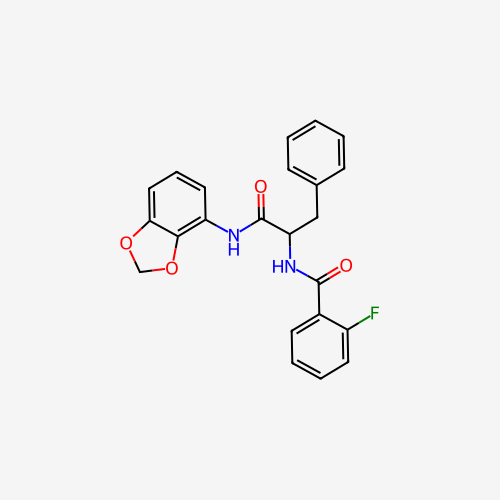 O=C(NC(Cc1ccccc1)C(=O)Nc1cccc2c1OCO2)c1ccccc1F